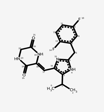 CC(C)c1[nH]c(Cc2cc(F)ccc2F)nc1C=C1NC(=O)CNC1=O